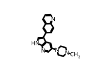 CN1CCN(c2cnc3[nH]cc(-c4ccc5ncccc5c4)c3c2)CC1